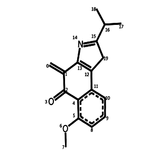 C=C1C(=O)c2c(OC)cccc2C2=C1N=C(C(C)C)C2